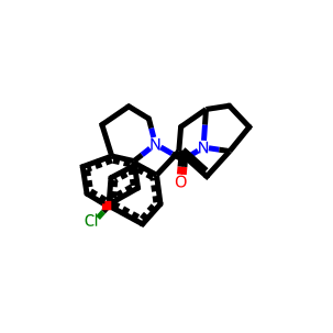 O=C(N1CCCc2ccccc21)N1C2C=C(c3ccc(Cl)cc3)CC1CC2